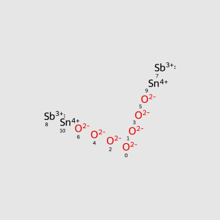 [O-2].[O-2].[O-2].[O-2].[O-2].[O-2].[O-2].[Sb+3].[Sb+3].[Sn+4].[Sn+4]